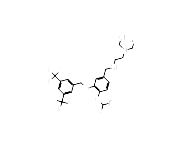 CCN(CC)CCNCc1ccc(OC(F)F)c(OCc2cc(C(F)(F)F)cc(C(F)(F)F)c2)c1